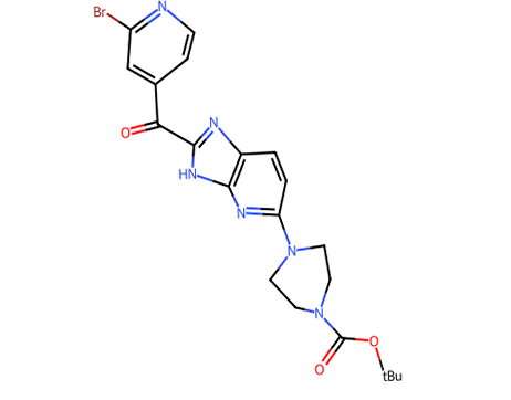 CC(C)(C)OC(=O)N1CCN(c2ccc3nc(C(=O)c4ccnc(Br)c4)[nH]c3n2)CC1